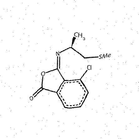 CSC[C@H](C)/N=C1/OC(=O)c2cccc(Cl)c21